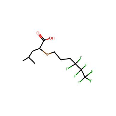 CC(C)CC(SCCCC(F)(F)C(F)(F)C(F)(F)F)C(=O)O